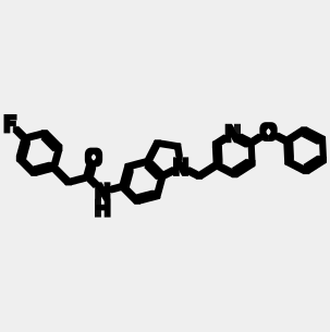 O=C(Cc1ccc(F)cc1)Nc1ccc2c(c1)CCN2Cc1ccc(Oc2ccccc2)nc1